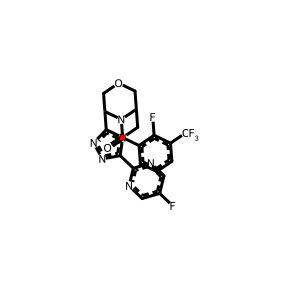 O=C(c1cccc(C(F)(F)F)c1F)N1C2COCC1c1nnc(-c3ncc(F)cn3)n1C2